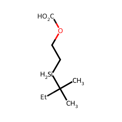 CCC(C)(C)[SiH2]CCOC(=O)O